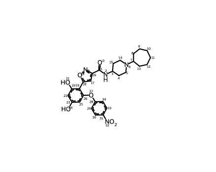 O=C(NC1CCN(C2CCCCCC2)CC1)c1cc(-c2c(O)cc(O)cc2Oc2ccc([N+](=O)[O-])cc2)on1